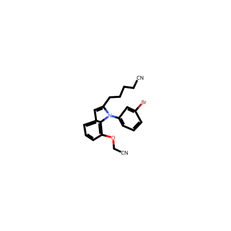 N#CCCCCc1cc2cccc(OCC#N)c2n1-c1cccc(Br)c1